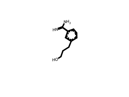 N=C(N)c1cccc(CCCO)c1